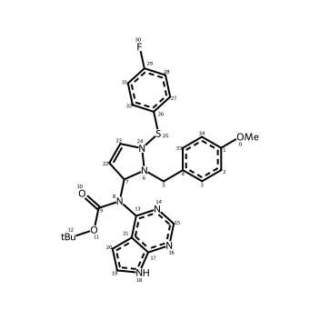 COc1ccc(CN2C(N(C(=O)OC(C)(C)C)c3ncnc4[nH]ccc34)C=CN2Sc2ccc(F)cc2)cc1